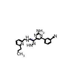 CCCc1cccc(CN/C=C(\N=N)c2cc(-c3cccc(C#N)c3)nc(N)n2)n1